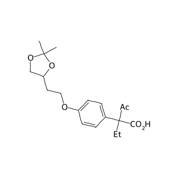 CCC(C(C)=O)(C(=O)O)c1ccc(OCCC2COC(C)(C)O2)cc1